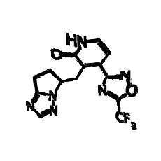 O=c1[nH]ccc(-c2noc(C(F)(F)F)n2)c1CC1CCc2ncnn21